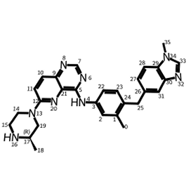 Cc1cc(Nc2ncnc3ccc(N4CCN[C@H](C)C4)nc23)ccc1Cc1ccc2c(c1)ncn2C